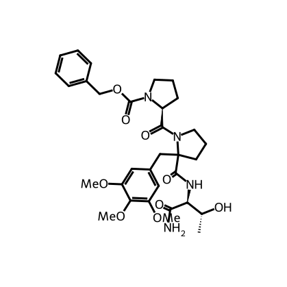 COc1cc(CC2(C(=O)N[C@H](C(N)=O)[C@@H](C)O)CCCN2C(=O)[C@@H]2CCCN2C(=O)OCc2ccccc2)cc(OC)c1OC